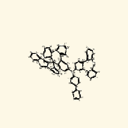 c1ccc(-c2ccc(N(c3ccc4c(c3)-c3ccccc3Oc3ccccc3-4)c3ccc4c(c3)-c3ccccc3-c3ccccc3C43c4ccccc4-c4cc5ccccc5cc43)cc2)cc1